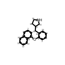 c1ccc(Oc2cccc3ccccc23)c(CC2CCNC2)c1